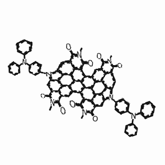 Cn1c(=O)c2cc3c4c5c(=O)n(C)c(=O)c6cc7c8c(c65)c5c6c(cc9c(=O)n(C)c(=O)c%10cc(c8c6c9%10)n7-c6ccc(N(c7ccccc7)c7ccccc7)cc6)c6c7c(=O)n(C)c(=O)c8cc9c%10c(c87)c(c3c3c2c(cc(c3%10)n9-c2ccc(N(c3ccccc3)c3ccccc3)cc2)c1=O)c6c45